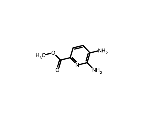 COC(=O)c1ccc(N)c(N)n1